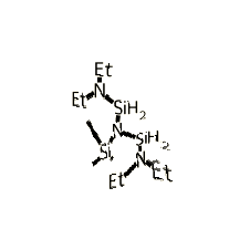 CCN(CC)[SiH2]N([SiH2]N(CC)CC)[Si](C)(C)C